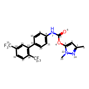 Cc1cc(OC(=O)Nc2ccc(-c3cc(C(F)(F)F)ccc3C(F)(F)F)cc2)n(C)n1